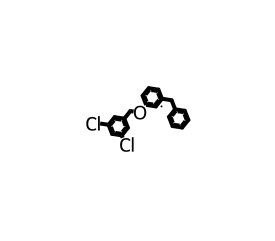 Clc1cc(Cl)cc(COc2[c]c(Cc3ccccc3)ccc2)c1